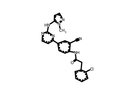 Cn1nccc1Nc1nccc(-c2ccc(NC(=O)Cc3ccccc3Cl)c(C#N)c2)n1